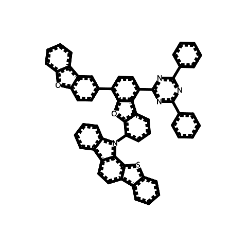 c1ccc(-c2nc(-c3ccccc3)nc(-c3ccc(-c4ccc5oc6ccccc6c5c4)c4oc5c(-n6c7ccccc7c7ccc8c9ccccc9sc8c76)cccc5c34)n2)cc1